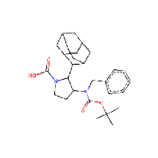 CC(C)(C)OC(=O)N(Cc1ccccc1)C1CCN(C(=O)O)C1C1C2CC3CC(C2)CC1C3